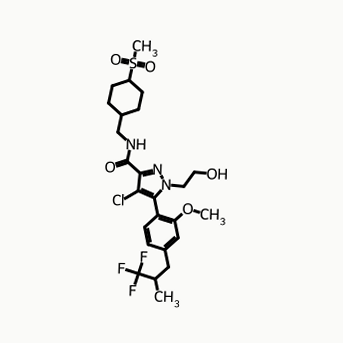 COc1cc(CC(C)C(F)(F)F)ccc1-c1c(Cl)c(C(=O)NCC2CCC(S(C)(=O)=O)CC2)nn1CCO